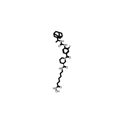 CC(NC(=O)Nc1ccc(C(=O)N2CCC[C@H](C(=O)NCCCCCCC(=O)NO)C2)cc1F)C12CC3CC(CC(C3)C1)C2